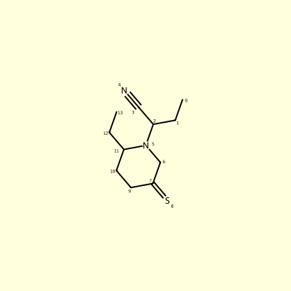 CCC(C#N)N1CC(=S)CCC1CC